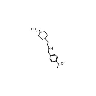 C[S+]([O-])c1ccc(CNCCC2CCN(C(=O)O)CC2)cc1